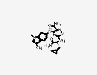 Cn1cc(C#N)c2ccc(Nc3nc(N[C@H](CC4CC4)C(N)=O)nnc3C(N)=O)cc21